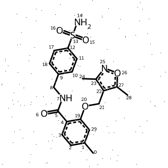 Cc1ccc(C(=O)NCc2ccc(S(N)(=O)=O)cc2)c(OCc2c(C)noc2C)c1